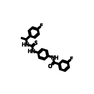 CC(NC(=S)Nc1ccc(NC(=O)c2cccc(F)c2)cc1)c1ccc(F)cc1